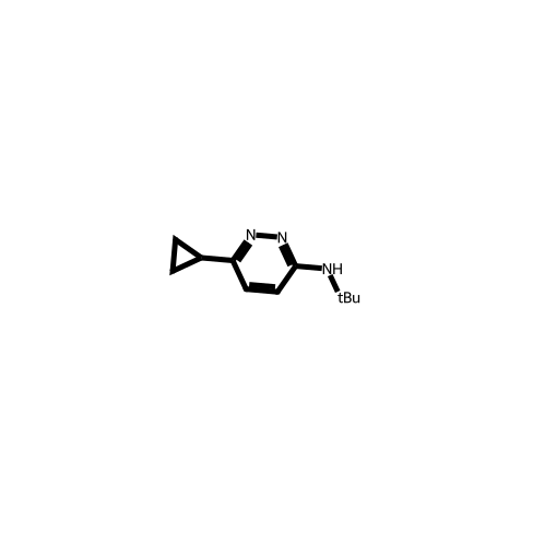 CC(C)(C)Nc1ccc(C2CC2)nn1